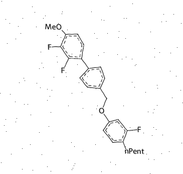 CCCCCc1ccc(OCc2ccc(-c3ccc(OC)c(F)c3F)cc2)cc1F